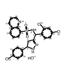 Cl.O=S(=O)(NC(C1=NNC(c2ccc(Cl)cc2)C1)c1ccc(Cl)cc1Cl)c1cccc2cccnc12